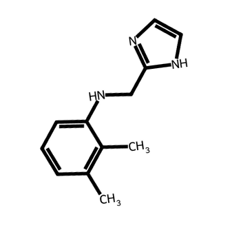 Cc1cccc(NCc2ncc[nH]2)c1C